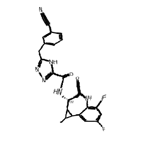 CC1C2c3cc(F)cc(F)c3NC(=O)[C@@H](NC(=O)c3nnc(Cc4cccc(C#N)c4)[nH]3)C12